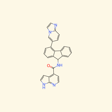 O=C(NC1c2ccccc2-c2c(-c3ccc4nccn4c3)cccc21)c1ccnc2[nH]ccc12